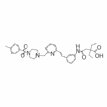 CCC(CC)(CC(=O)Nc1cccc(C=Cc2cccc(CN3CCN(S(=O)(=O)c4ccc(C)cc4)CC3)n2)c1)C(=O)O